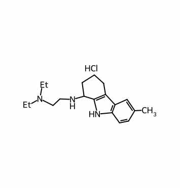 CCN(CC)CCNC1CCCc2c1[nH]c1ccc(C)cc21.Cl